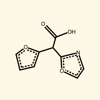 O=C(O)C(c1ccco1)c1ncco1